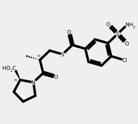 C[C@H](CSC(=O)c1ccc(Cl)c(S(N)(=O)=O)c1)C(=O)N1CCC[C@H]1C(=O)O